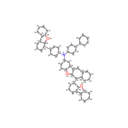 c1ccc(-c2ccc(N(c3ccc(-c4cccc5c4oc4ccccc45)cc3)c3ccc4oc5c(-c6cccc7c6oc6ccccc67)c6ccccc6cc5c4c3)cc2)cc1